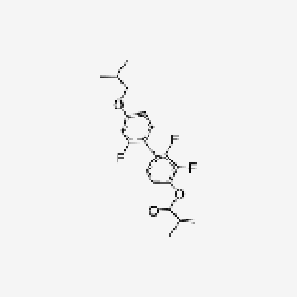 C=C(C)COc1ccc(-c2ccc(OC(=O)C(=C)C)c(F)c2F)c(F)c1